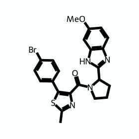 COc1ccc2nc(C3CCCN3C(=O)c3nc(C)sc3-c3ccc(Br)cc3)[nH]c2c1